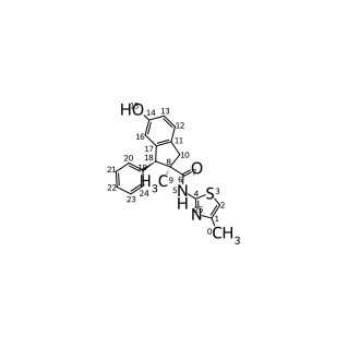 Cc1csc(NC(=O)[C@]2(C)Cc3ccc(O)cc3[C@@H]2c2ccccc2)n1